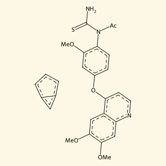 COc1cc2nccc(Oc3ccc(N(C(C)=O)C(N)=S)c(OC)c3)c2cc1OC.c1cc2cc-2c1